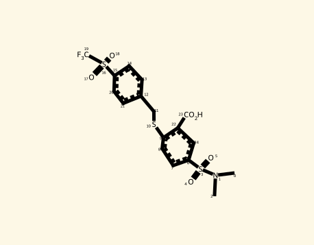 CN(C)S(=O)(=O)c1ccc(SCc2ccc(S(=O)(=O)C(F)(F)F)cc2)c(C(=O)O)c1